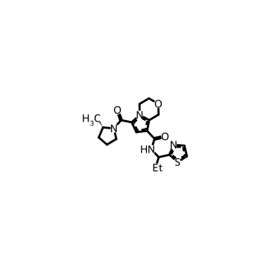 CCC(NC(=O)c1cc(C(=O)N2CCC[C@@H]2C)n2c1COCC2)c1nccs1